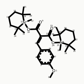 COc1ccc(C=C(C(=O)O[N+]2(C)C(C)(C)CCCC2(C)C)C(=O)O[N+]2(C)C(C)(C)CCCC2(C)C)cc1